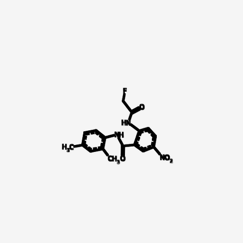 Cc1ccc(NC(=O)c2cc([N+](=O)[O-])ccc2NC(=O)CF)c(C)c1